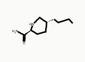 CCCC[C@@H]1CC[C@@H](C(N)=O)NC1